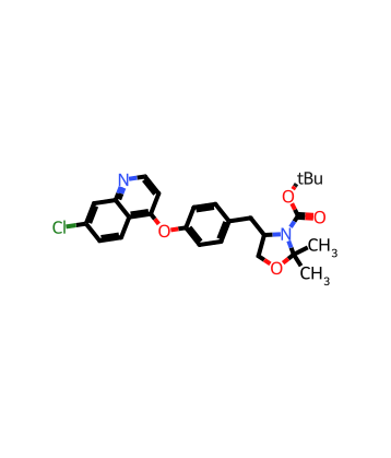 CC(C)(C)OC(=O)N1C(Cc2ccc(Oc3ccnc4cc(Cl)ccc34)cc2)COC1(C)C